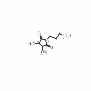 CC1C(=O)N(CCCS(=O)(=O)O)C(=O)C1C